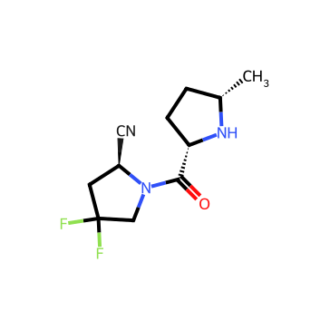 C[C@H]1CC[C@@H](C(=O)N2CC(F)(F)C[C@H]2C#N)N1